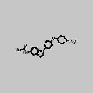 CC(C)(C)C(=O)Nc1ccc2c(ccn2-c2ccc(OC3CCN(C(=O)O)CC3)cn2)c1